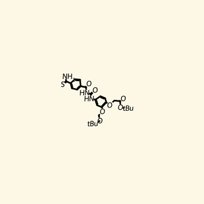 CC(C)(C)OCOc1cc(NC(=O)NC(=O)c2ccc(C(N)=S)cc2)ccc1OCC(=O)OC(C)(C)C